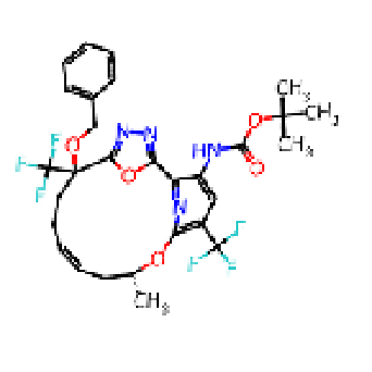 C[C@@H]1C/C=C\CC[C@](OCc2ccccc2)(C(F)(F)F)c2nnc(o2)-c2nc(c(C(F)(F)F)cc2NC(=O)OC(C)(C)C)O1